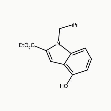 CCOC(=O)c1cc2c(O)cccc2n1CC(C)C